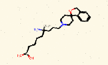 NC(CCCCB(O)O)(CCCN1CCC2(CC1)OCc1ccccc12)C(=O)O